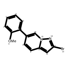 COc1ccccc1-c1ccc2cc(Br)nn2c1